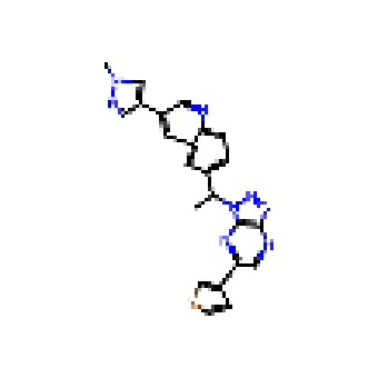 CC(c1ccc2ncc(-c3cnn(C)c3)cc2c1)n1nnc2ncc(-c3ccsc3)nc21